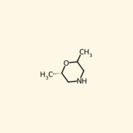 C[C]1CNC[C@H](C)O1